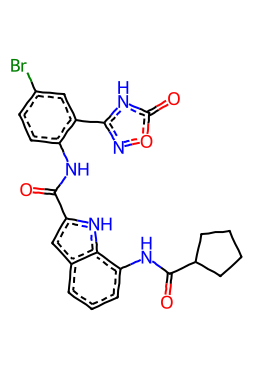 O=C(Nc1ccc(Br)cc1-c1noc(=O)[nH]1)c1cc2cccc(NC(=O)C3CCCC3)c2[nH]1